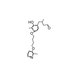 Cc1ncccc1OCCCCOc1ccc(CC(C)CC=O)c(O)c1C